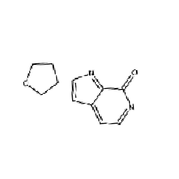 C1CCOC1.O=C1N=CC=C2C=CN=C12